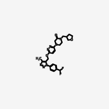 Cc1nnn(-c2ccc(C(F)F)cc2)c1COc1ccc(N2CCN(CC3CCOC3)C(=O)C2)nn1